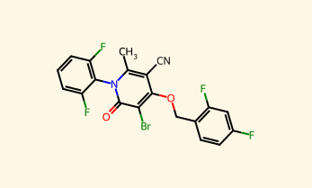 Cc1c(C#N)c(OCc2ccc(F)cc2F)c(Br)c(=O)n1-c1c(F)cccc1F